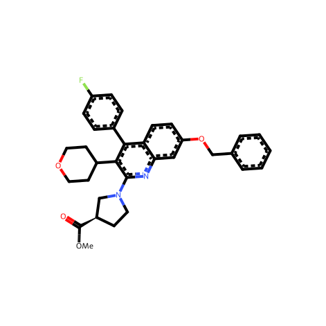 COC(=O)[C@@H]1CCN(c2nc3cc(OCc4ccccc4)ccc3c(-c3ccc(F)cc3)c2C2CCOCC2)C1